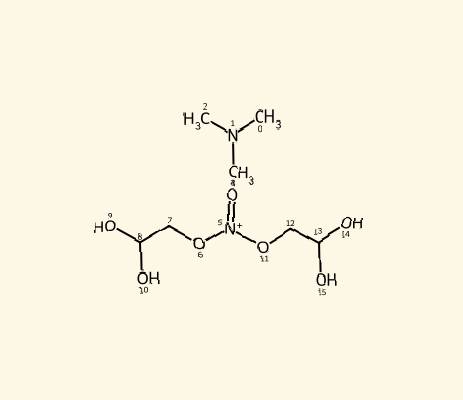 CN(C)C.O=[N+](OCC(O)O)OCC(O)O